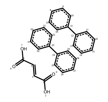 O=C(O)/C=C/C(=O)O.c1ccc(-c2ccccc2)cc1.c1ccc(-c2ccccc2)cc1